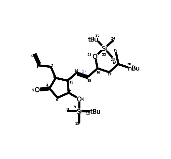 C=CCC1C(=O)CC(O[Si](C)(C)C(C)(C)C)C1/C=C/C(CC(C)CCCC)O[Si](C)(C)C(C)(C)C